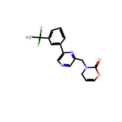 CC(F)(F)c1cccc(-c2cncc(CN3CC=COC3=O)n2)c1